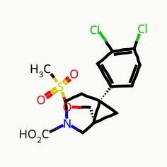 CS(=O)(=O)OC[C@]12CN(C(=O)O)CC[C@@]1(c1ccc(Cl)c(Cl)c1)C2